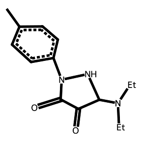 CCN(CC)C1NN(c2ccc(C)cc2)C(=O)C1=O